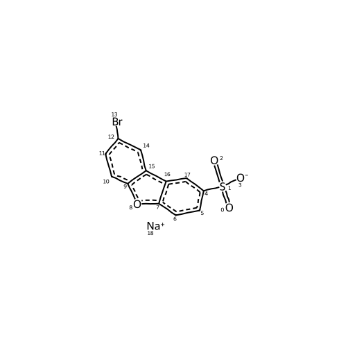 O=S(=O)([O-])c1ccc2oc3ccc(Br)cc3c2c1.[Na+]